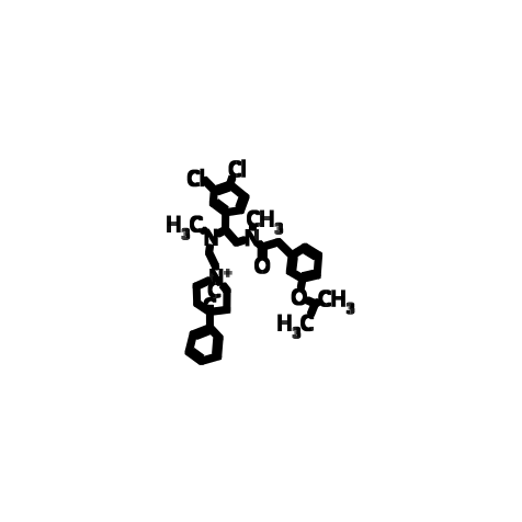 CC(C)Oc1cccc(CC(=O)N(C)CC(c2ccc(Cl)c(Cl)c2)N(C)CC[N+]23CCC(c4ccccc4)(CC2)CC3)c1